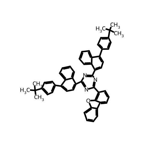 CC(C)(C)c1ccc(-c2ccc(-c3nc(-c4ccc(-c5ccc(C(C)(C)C)cc5)c5ccccc45)nc(-c4cccc5c4oc4ccccc45)n3)c3ccccc23)cc1